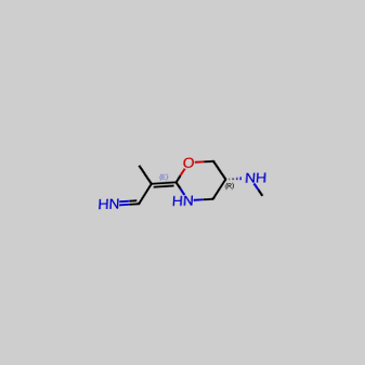 CN[C@@H]1CN/C(=C(/C)C=N)OC1